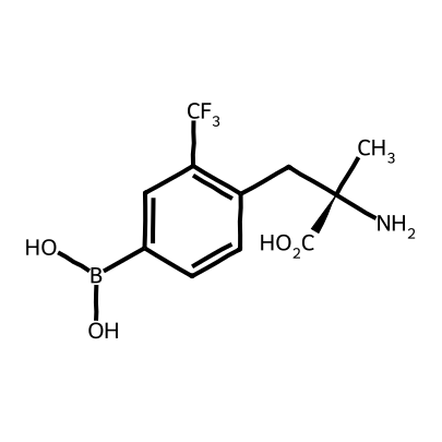 C[C@](N)(Cc1ccc(B(O)O)cc1C(F)(F)F)C(=O)O